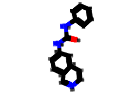 O=C(Nc1ccccc1)Nc1ccc2cnccc2c1